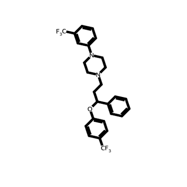 FC(F)(F)c1ccc(OC(CCN2CCN(c3cccc(C(F)(F)F)c3)CC2)c2ccccc2)cc1